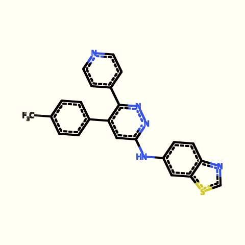 FC(F)(F)c1ccc(-c2cc(Nc3ccc4ncsc4c3)nnc2-c2ccncc2)cc1